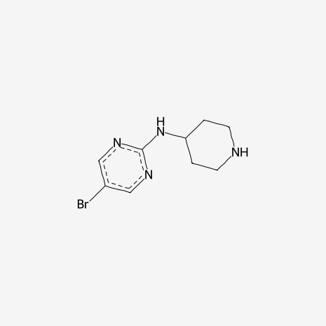 Brc1cnc(NC2CCNCC2)nc1